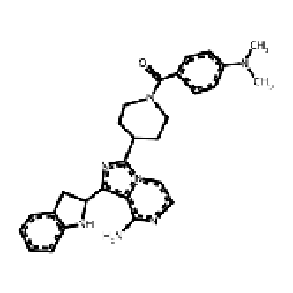 CN(C)c1ccc(C(=O)N2CCC(c3nc(C4Cc5ccccc5N4)c4c(N)nccn34)CC2)cc1